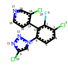 Fc1c(Cl)ccc(-n2cc(Cl)nn2)c1-c1ccncc1Cl